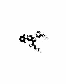 Cc1cccc(C)c1-c1cc2c(C(=O)CCC(F)(F)F)cn(-c3cc(OC(C)C)ncn3)c2cn1